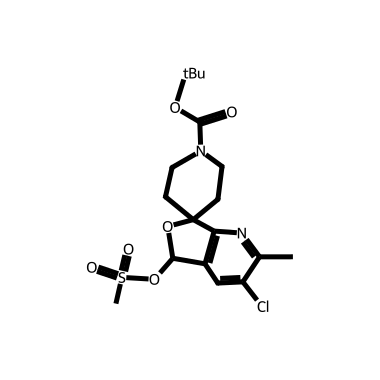 Cc1nc2c(cc1Cl)C(OS(C)(=O)=O)OC21CCN(C(=O)OC(C)(C)C)CC1